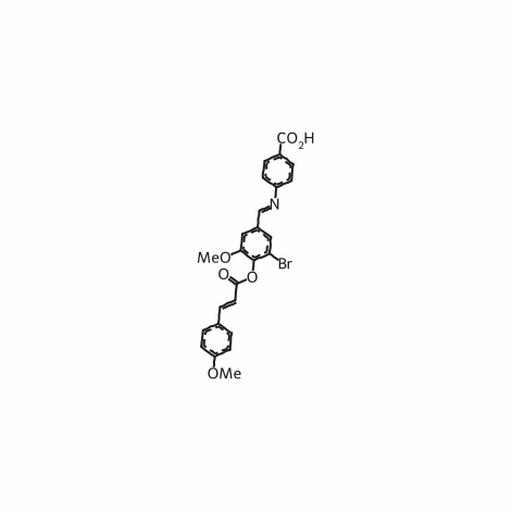 COc1ccc(/C=C/C(=O)Oc2c(Br)cc(/C=N/c3ccc(C(=O)O)cc3)cc2OC)cc1